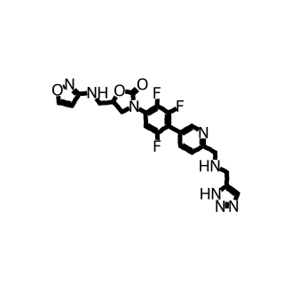 O=C1OC(CNc2ccon2)CN1c1cc(F)c(-c2ccc(CNCc3cnn[nH]3)nc2)c(F)c1F